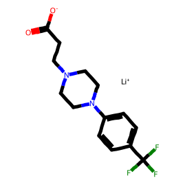 O=C([O-])CCN1CCN(c2ccc(C(F)(F)F)cc2)CC1.[Li+]